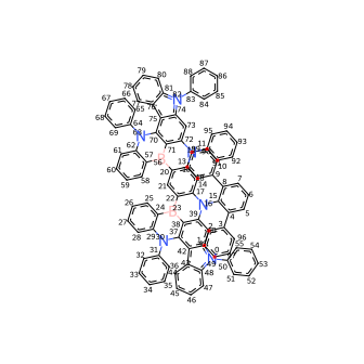 c1ccc(-c2cccc(-c3ccccc3)c2N2c3cc4c(cc3B3c5ccccc5N(c5ccccc5)c5c3c2cc2c5c3ccccc3n2-c2ccccc2)B2c3ccccc3N(c3ccccc3)c3c2c(cc2c3c3ccccc3n2-c2ccccc2)N4c2ccccc2)cc1